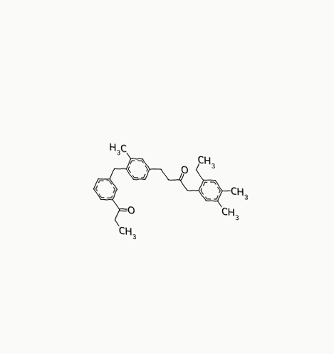 CCC(=O)c1cccc(Cc2ccc(CCC(=O)Cc3cc(C)c(C)cc3CC)cc2C)c1